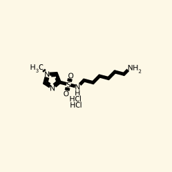 Cl.Cl.Cn1cnc(S(=O)(=O)NCCCCCCN)c1